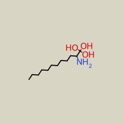 CCCCCCCCCCC(N)C(O)(O)O